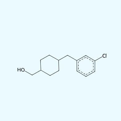 OCC1CCC(Cc2cccc(Cl)c2)CC1